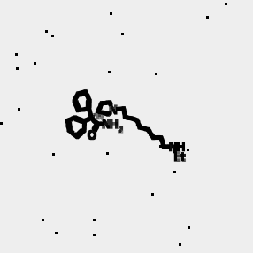 CCNCCCCCCCCN1CC[C@@H](C(C(N)=O)(c2ccccc2)c2ccccc2)C1